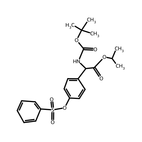 CC(C)OC(=O)C(NC(=O)OC(C)(C)C)c1ccc(OS(=O)(=O)c2ccccc2)cc1